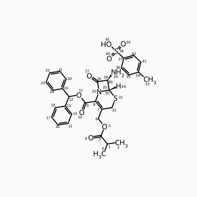 CC(C)C(=O)OCC1=C(C(=O)OC(c2ccccc2)c2ccccc2)N2C(=O)[C@@H](N)[C@@H]2SC1.Cc1ccc(S(=O)(=O)O)cc1